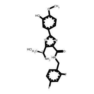 COc1ccc(-c2nc(C(=O)NCc3ccc(F)cc3F)c([C@H](C)N)o2)cc1O.Cl